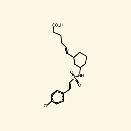 O=C(O)CCC/C=C/C1CCCC(NS(=O)(=O)/C=C/c2ccc(Cl)cc2)C1